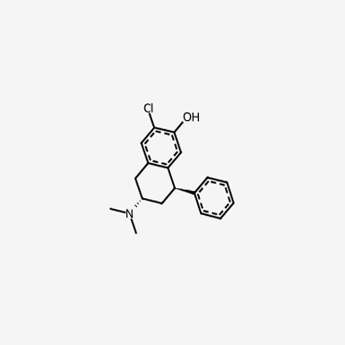 CN(C)[C@@H]1Cc2cc(Cl)c(O)cc2[C@@H](c2ccccc2)C1